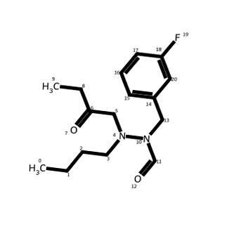 CCCCN(CC(=O)CC)N(C=O)Cc1cccc(F)c1